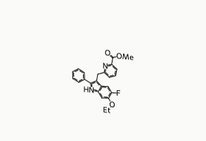 CCOc1cc2[nH]c(-c3ccccc3)c(Cc3cccc(C(=O)OC)n3)c2cc1F